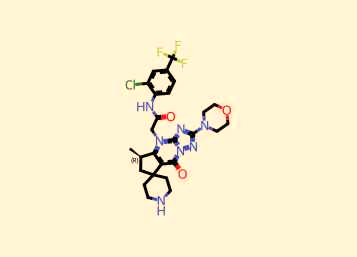 C[C@@H]1CC2(CCNCC2)c2c1n(CC(=O)Nc1ccc(C(F)(F)F)cc1Cl)c1nc(N3CCOCC3)nn1c2=O